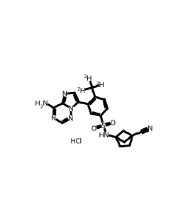 Cl.[2H]C([2H])([2H])c1ccc(S(=O)(=O)NC23CCC(C#N)(C2)C3)cc1-c1cnc2c(N)ncnn12